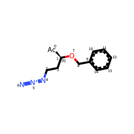 CC(=O)[C@H](CCN=[N+]=[N-])OCc1ccccc1